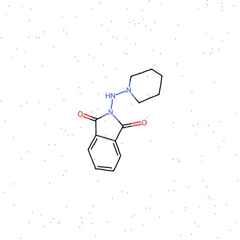 O=C1c2ccccc2C(=O)N1NN1CCCCC1